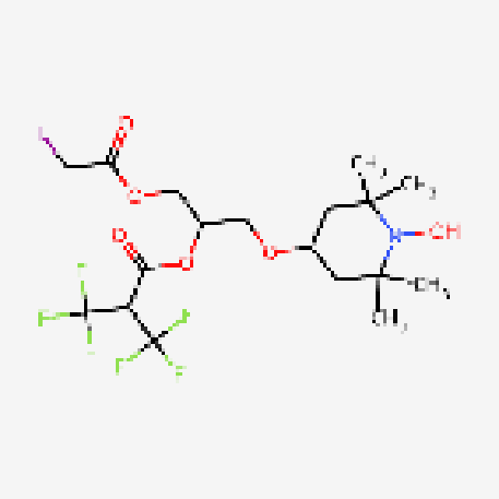 CC1(C)CC(OCC(COC(=O)CI)OC(=O)C(C(F)(F)F)C(F)(F)F)CC(C)(C)N1O